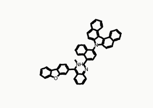 CN/C(=C1/C=CC=C/C1=N/Cc1ccc(-n2c3ccc4ccccc4c3c3c4ccccc4ccc32)c2ccccc12)c1ccc2c(c1)oc1ccccc12